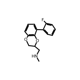 CNCC1COc2cccc(-c3ccccc3F)c2O1